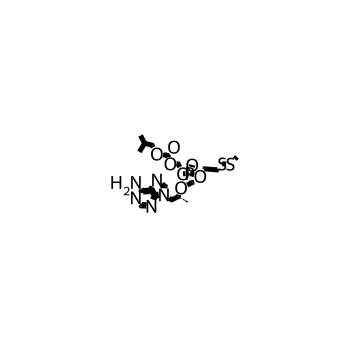 CSSCCOP(=O)(CO[C@H](C)Cn1cnc2c(N)ncnc21)OCOC(=O)OCC(C)C